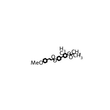 C=C(C)C(=O)Oc1ccc(-c2ccc(OC(=O)/C=C/c3ccc(OC)cc3)cc2)c(C)c1